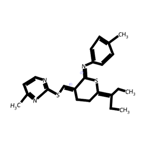 CCC(CC)=C1CCC(=C\Sc2nccc(C)n2)/C(=N/c2ccc(C)cc2)S1